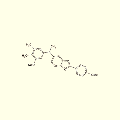 COc1ccc(-c2cc3cc(C(C)c4cc(C)c(C)c(OC)c4)ccc3o2)cc1